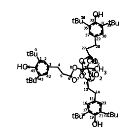 CC(C)(C)c1cc(CCC(=O)OC(OC(=O)CCc2cc(C(C)(C)C)c(O)c(C(C)(C)C)c2)(OC(=O)CCc2cc(C(C)(C)C)c(O)c(C(C)(C)C)c2)C(C)(C)[N+](=O)[O-])cc(C(C)(C)C)c1O